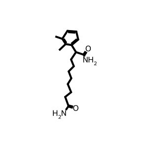 Cc1cccc(C(CCCCCCCC(N)=O)C(N)=O)c1C